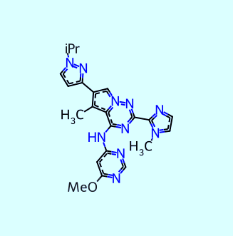 COc1cc(Nc2nc(-c3nccn3C)nn3cc(-c4ccn(C(C)C)n4)c(C)c23)ncn1